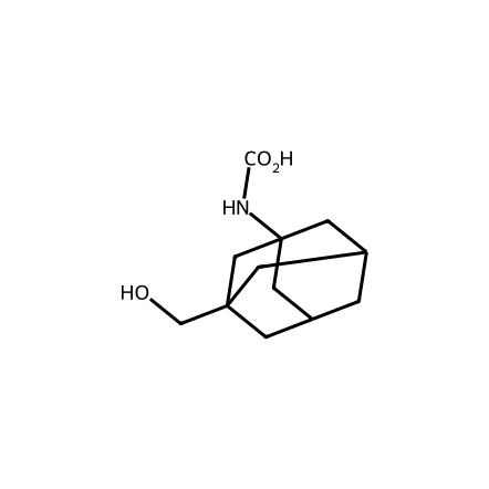 O=C(O)NC12CC3CC(CC(CO)(C3)C1)C2